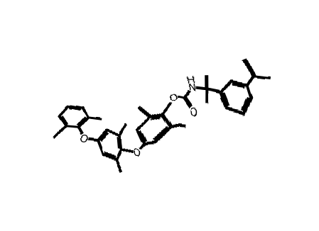 C=C(C)c1cccc(C(C)(C)NC(=O)Oc2c(C)cc(Oc3c(C)cc(Oc4c(C)cccc4C)cc3C)cc2C)c1